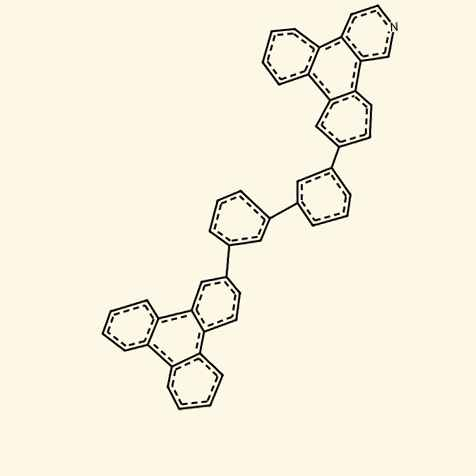 c1cc(-c2cccc(-c3ccc4c5cnccc5c5ccccc5c4c3)c2)cc(-c2ccc3c4ccccc4c4ccccc4c3c2)c1